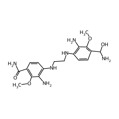 COc1c(C(N)=O)ccc(NCCNc2ccc(C(N)O)c(OC)c2N)c1N